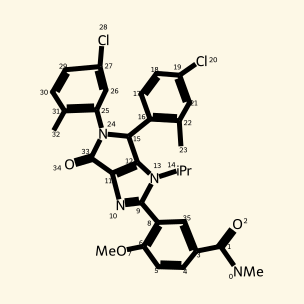 CNC(=O)c1ccc(OC)c(-c2nc3c(n2C(C)C)C(c2ccc(Cl)cc2C)N(c2cc(Cl)ccc2C)C3=O)c1